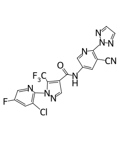 N#Cc1cc(NC(=O)c2cnn(-c3ncc(F)cc3Cl)c2C(F)(F)F)cnc1-n1nccn1